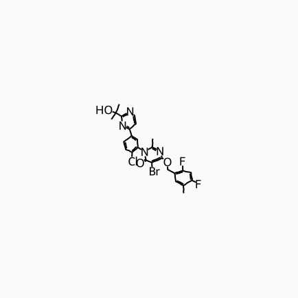 Cc1cc(COc2nc(C)n(-c3cc(-c4ccnc(C(C)(C)O)n4)ccc3Cl)c(=O)c2Br)c(F)cc1F